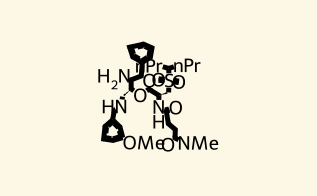 CCCC(CCC)S(=O)(=O)C[C@H](NC(=O)CCC(=O)NC)C(=O)O[C@H](CNCc1cccc(OC)c1)[C@@H](N)Cc1ccccc1